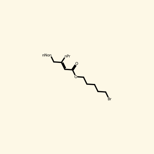 CCCCCCCCCC/C(=C/C(=O)OCCCCCBr)CCC